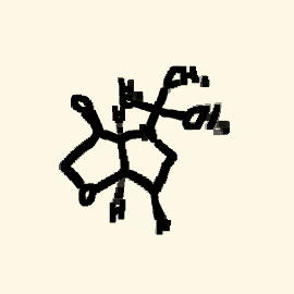 CC(C)(C)N1C[C@@H](F)[C@H]2OCC(=O)[C@H]21